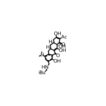 CCC(C)CNCc1cc(N(C)C)c2c(c1O)C(=O)C1=C(O)[C@]3(O)C(=O)C(C(C)=O)=C(O)C[C@@H]3C[C@@H]1C2